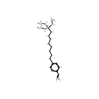 C=Cc1ccc(CCCCCCCC[Si](OC)(OC)OC)cc1